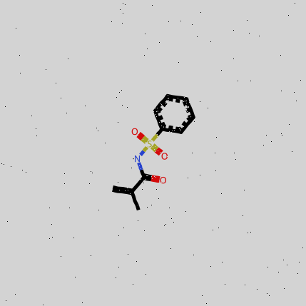 C=C(C)C(=O)[N]S(=O)(=O)c1ccccc1